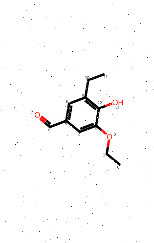 CCOc1cc(C=O)cc(CC)c1O